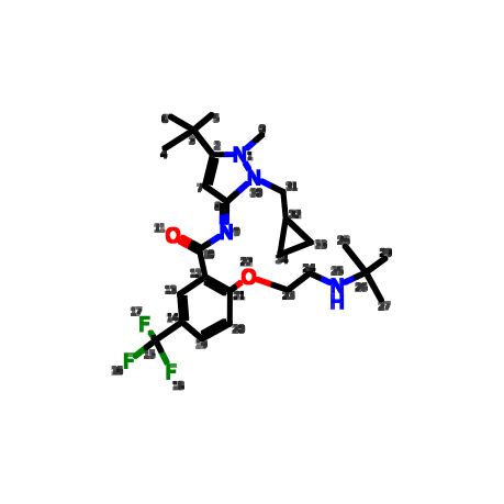 Cn1c(C(C)(C)C)c/c(=N\C(=O)c2cc(C(F)(F)F)ccc2OCCNC(C)(C)C)n1CC1CC1